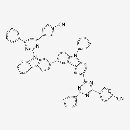 N#Cc1ccc(-c2cc(-c3ccccc3)nc(-n3c4ccccc4c4ccc(-c5ccc6c(c5)c5cc(-c7nc(-c8ccccc8)nc(-c8ccc(C#N)cc8)n7)ccc5n6-c5ccccc5)cc43)n2)cc1